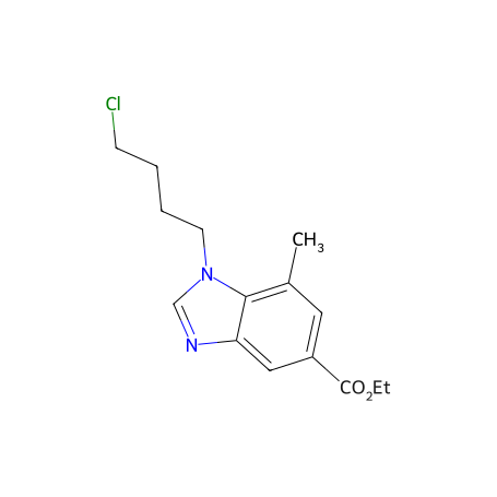 CCOC(=O)c1cc(C)c2c(c1)ncn2CCCCCl